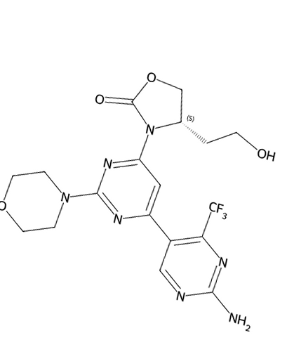 Nc1ncc(-c2cc(N3C(=O)OC[C@@H]3CCO)nc(N3CCOCC3)n2)c(C(F)(F)F)n1